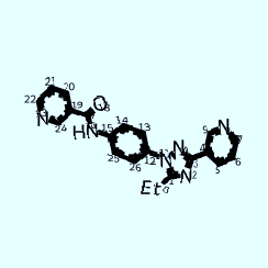 CCc1nc(-c2cccnc2)nn1-c1ccc(NC(=O)c2cccnc2)cc1